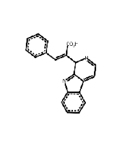 O=C(O)C(=Cc1ccccc1)C1N=CC=C2C1=Nc1ccccc12